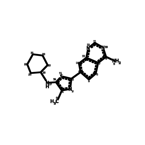 Cc1nc(-c2ccc3c(N)ncnc3c2)sc1NC1CCCCC1